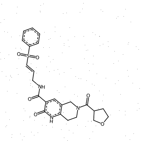 O=C(NC/C=C/S(=O)(=O)c1ccccc1)c1cc2c([nH]c1=O)CCN(C(=O)C1CCOC1)C2